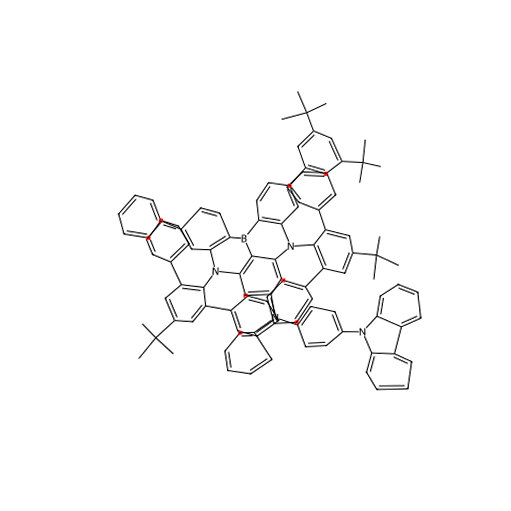 CC(C)(C)c1cc(-c2ccc3c(c2)N(c2c(-c4ccccc4)cc(C(C)(C)C)cc2-c2ccccc2)c2cc(N(c4ccccc4)c4ccc(-n5c6ccccc6c6ccccc65)cc4)cc4c2B3c2ccc(-c3ccccc3)cc2N4c2c(-c3ccccc3)cc(C(C)(C)C)cc2-c2ccccc2)cc(C(C)(C)C)c1